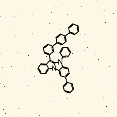 c1ccc(-c2ccc(-c3cccc(-c4c5ccccc5n5c6cc(-c7ccccc7)ccc6n(-c6ccccc6)c45)c3)cc2)cc1